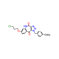 COc1ccc(Cn2nnc3c(=O)[nH]c4cc(OCCCCl)ccc4c(=O)c32)cc1